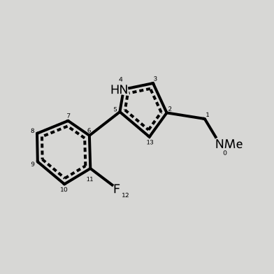 CNCc1c[nH]c(-c2ccccc2F)c1